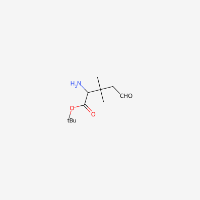 CC(C)(C)OC(=O)C(N)C(C)(C)CC=O